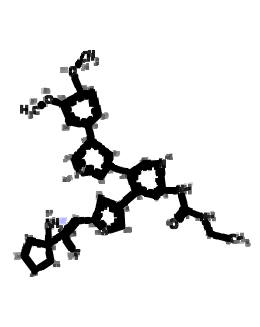 CCNC(=O)Nc1cc(-c2csc(/C=C(\F)C3(N)CCCC3)c2)c(-c2cncc(-c3ccc(OC)c(OC)c3)c2)cn1